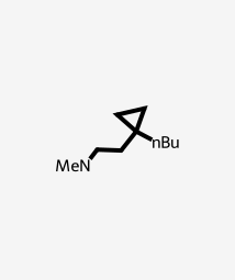 CCCCC1(CCNC)CC1